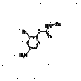 CC(C)(C)NC(=O)Oc1ncc(N)cc1Br